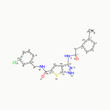 Cc1cccc(CC(=O)Nc2n[nH]c3sc(C(=O)NCc4cccc(Cl)c4)cc23)c1